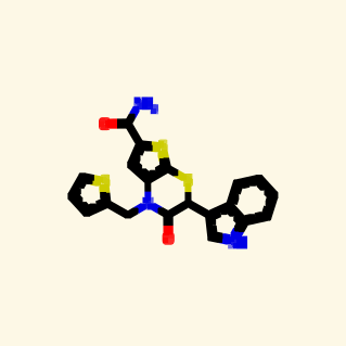 NC(=O)c1cc2c(s1)SC(c1c[nH]c3ccccc13)C(=O)N2Cc1cccs1